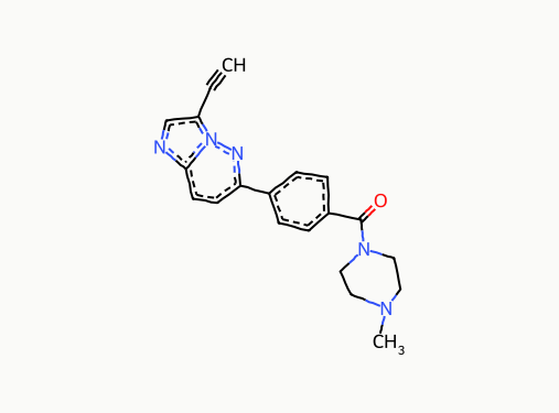 C#Cc1cnc2ccc(-c3ccc(C(=O)N4CCN(C)CC4)cc3)nn12